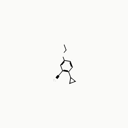 CCOc1ccc(C2CC2)c(C#N)c1